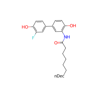 CCCCCCCCCCCCCCCC(=O)Nc1cc(-c2ccc(O)c(F)c2)ccc1O